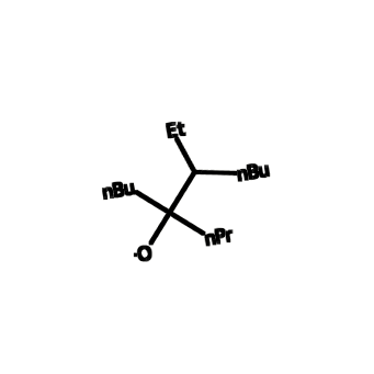 CCCCC(CC)C([O])(CCC)CCCC